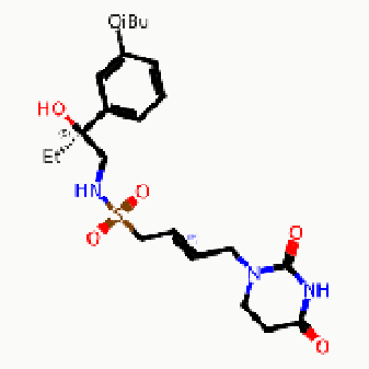 CC[C@@](O)(CNS(=O)(=O)C/C=C/CN1CCC(=O)NC1=O)c1cccc(OCC(C)C)c1